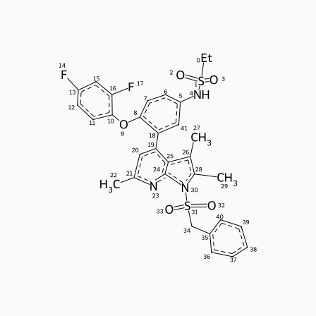 CCS(=O)(=O)Nc1ccc(Oc2ccc(F)cc2F)c(-c2cc(C)nc3c2c(C)c(C)n3S(=O)(=O)Cc2ccccc2)c1